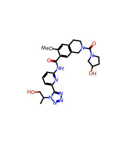 COc1cc2c(cc1C(=O)Nc1cccc(-c3nnnn3C(C)CO)n1)CN(C(=O)N1CCC(O)C1)CC2